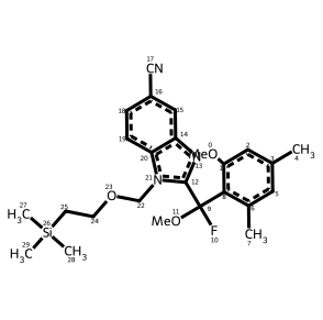 COc1cc(C)cc(C)c1C(F)(OC)c1nc2cc(C#N)ccc2n1COCC[Si](C)(C)C